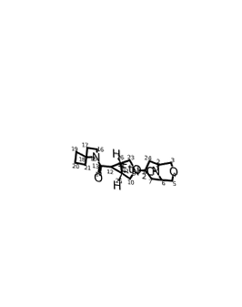 CCOC(=O)N1C2COCC1CC(N1C[C@@H]3C(C(=O)N4CCC45CCC5)[C@@H]3C1)C2